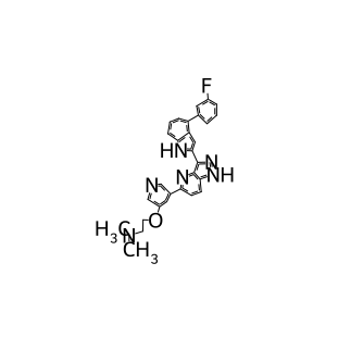 CN(C)CCOc1cncc(-c2ccc3[nH]nc(-c4cc5c(-c6cccc(F)c6)cccc5[nH]4)c3n2)c1